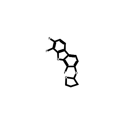 Fc1ccc2c(oc3c(F)c(OC4CCCO4)ccc32)c1F